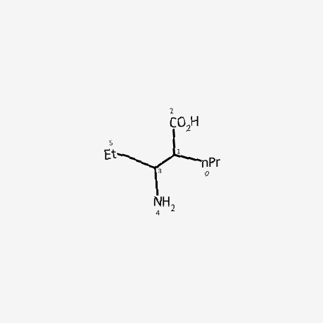 CCCC(C(=O)O)C(N)CC